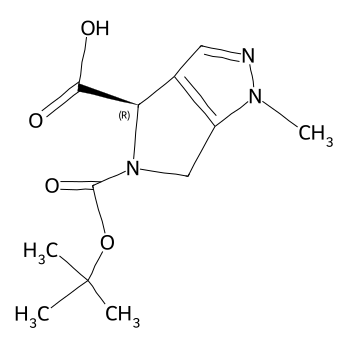 Cn1ncc2c1CN(C(=O)OC(C)(C)C)[C@H]2C(=O)O